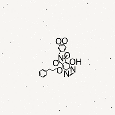 O=C1c2c(c(OCCCc3ccccc3)c3nccnc3c2O)C(=O)N1Cc1ccc2c(c1)OCO2